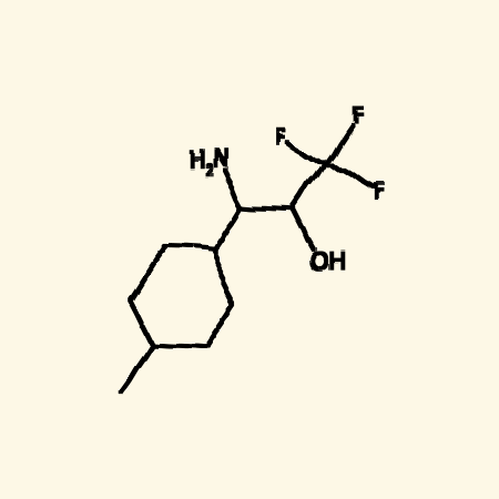 CC1CCC(C(N)C(O)C(F)(F)F)CC1